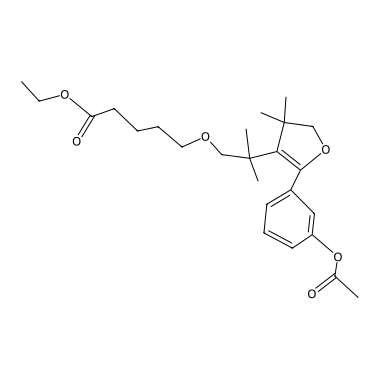 CCOC(=O)CCCCOCC(C)(C)C1=C(c2cccc(OC(C)=O)c2)OCC1(C)C